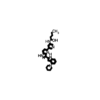 CCCCC(O)Nc1cncc(-c2ccc3[nH]nc(-c4cc5c(N6CCCCC6)cccc5[nH]4)c3n2)c1